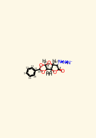 [N-]=[N+]=N[C@@H]1C(=O)O[C@@H]2[C@H]3OC(c4ccccc4)O[C@H]3O[C@@H]21